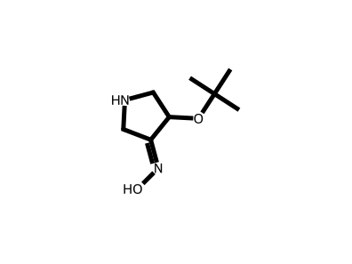 CC(C)(C)OC1CNCC1=NO